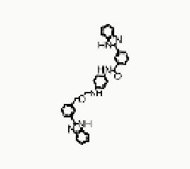 O=C(Nc1ccc(NCOCc2cccc(-c3nc4ccccc4[nH]3)c2)cc1)c1cccc(-c2nc3ccccc3[nH]2)c1